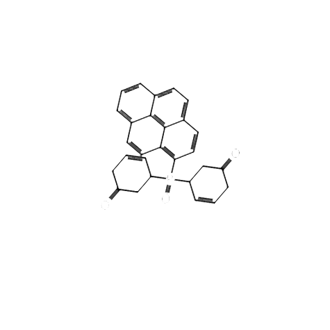 O=C1CC=CC(P(=O)(c2ccc3ccc4cccc5ccc2c3c45)C2C=CCC(=O)C2)C1